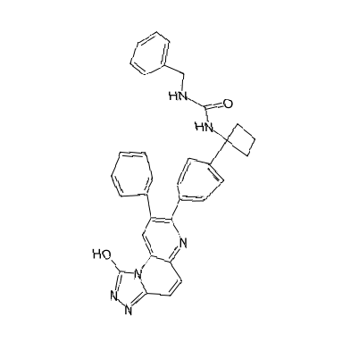 O=C(NCc1ccccc1)NC1(c2ccc(-c3nc4ccc5nnc(O)n5c4cc3-c3ccccc3)cc2)CCC1